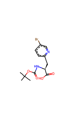 CC(C)(C)OC(=O)N[C@@H](Cc1ccc(Br)cn1)C(=O)O